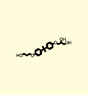 CC(C)(c1ccc(OCCCO)cc1)c1ccc(OCC(O)CO)cc1